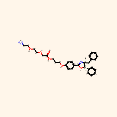 C[C@@]1(Cc2ccccc2)N=C(c2ccc(OCCCOC(=O)COCCOCCN)cc2)O[C@H]1c1ccccc1